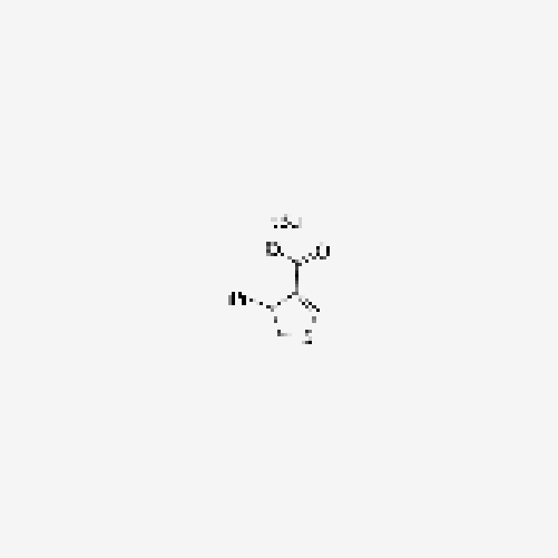 CC(C)C1CSC=C1C(=O)OC(C)(C)C